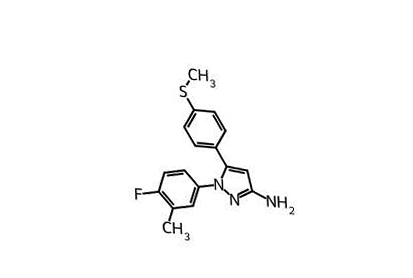 CSc1ccc(-c2cc(N)nn2-c2ccc(F)c(C)c2)cc1